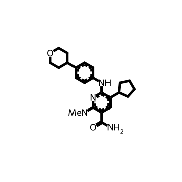 CNc1nc(Nc2ccc(C3CCOCC3)cc2)c(C2CCCC2)cc1C(N)=O